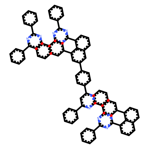 c1ccc(-c2cc(-c3ccc(-c4cc(-c5ccc(-c6cc(-c7ccccc7)nc(-c7ccc(-c8cccc9cccc(-c%10nc(-c%11ccccc%11)nc(-c%11ccccc%11)n%10)c89)cc7)n6)cc5)cc5cccc(-c6nc(-c7ccccc7)nc(-c7ccccc7)n6)c45)cc3)nc(-c3ccccc3)n2)cc1